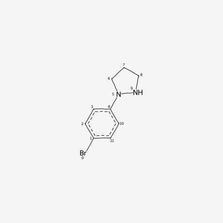 Brc1ccc(N2CCCN2)cc1